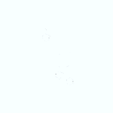 CO[C@H](C)CN(CCCCc1ccc2c(n1)NCCC2)CCC(Nc1cc(C)nc(-c2ccncc2)n1)C(=O)O